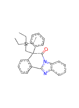 CC[Si](CC)(CC)CC1(c2ccccc2)C(=O)n2c(nc3ccccc32)-c2ccccc21